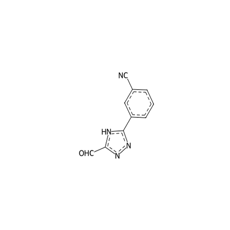 N#Cc1cccc(-c2nnc(C=O)[nH]2)c1